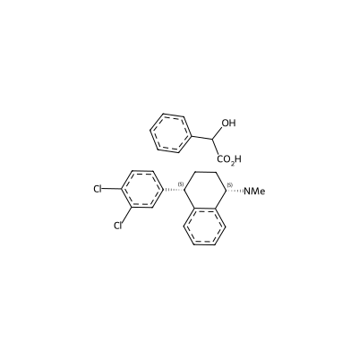 CN[C@H]1CC[C@@H](c2ccc(Cl)c(Cl)c2)c2ccccc21.O=C(O)C(O)c1ccccc1